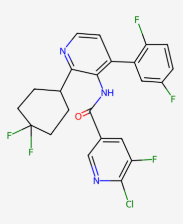 O=C(Nc1c(-c2cc(F)ccc2F)ccnc1C1CCC(F)(F)CC1)c1cnc(Cl)c(F)c1